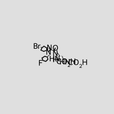 O=C(O)NCCC[C@@H](CNC(=O)c1nc2cc(Br)ccc2n1Cc1ccc(F)cc1)NC(=O)O